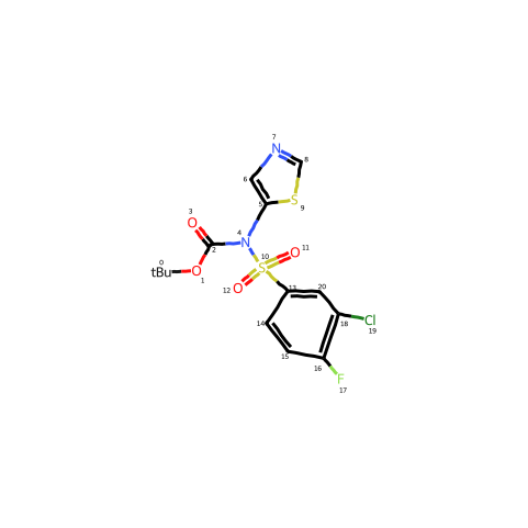 CC(C)(C)OC(=O)N(c1cncs1)S(=O)(=O)c1ccc(F)c(Cl)c1